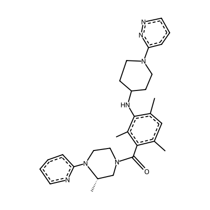 Cc1cc(C)c(C(=O)N2CCN(c3ccccn3)[C@@H](C)C2)c(C)c1NC1CCN(c2cccnn2)CC1